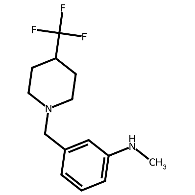 CNc1cccc(CN2CCC(C(F)(F)F)CC2)c1